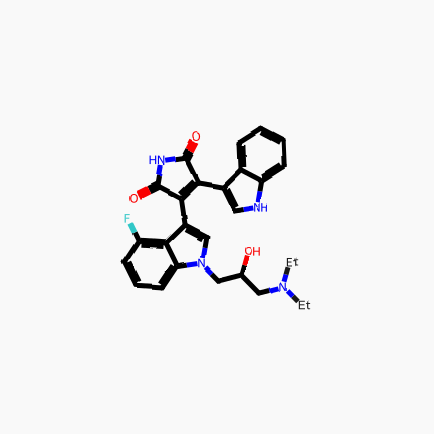 CCN(CC)CC(O)Cn1cc(C2=C(c3c[nH]c4ccccc34)C(=O)NC2=O)c2c(F)cccc21